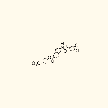 O=C(O)C[C@H]1CC[C@H](OC(=O)N2CCc3cc(NC(=O)Nc4ccc(Cl)c(Cl)c4)ccc3C2)CC1